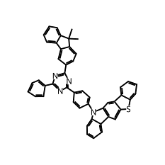 CC1(C)c2ccccc2-c2cc(-c3nc(-c4ccccc4)nc(-c4ccc(-n5c6ccccc6c6cc7sc8ccccc8c7cc65)cc4)n3)ccc21